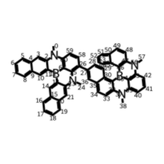 CN1c2cc3ccccc3cc2B2c3cc4ccccc4cc3N(C)c3c(-c4ccc5c6c(ccc5c4)N(C)c4cccc5c4B6c4c(ccc6ccccc46)N5C)ccc1c32